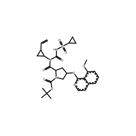 C=CC1CC1N(C(=O)NS(=O)(=O)C1CC1)C(=O)C1CC(Oc2nccc3cccc(OC)c23)CN1C(=O)OC(C)(C)C